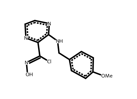 COc1ccc(CNc2nccnc2/C(Cl)=N/O)cc1